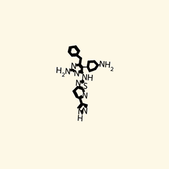 Nc1nc(Cc2ccccc2)c([C@H]2CC[C@H](N)CC2)c(Nc2nc3ccc(-c4cn[nH]c4)nc3s2)n1